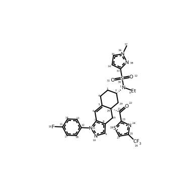 CCN([C@H]1CCC2=Cc3c(cnn3-c3ccc(F)cc3)C[C@]2(C(=O)c2nc(C(F)(F)F)cs2)C1)S(=O)(=O)c1ccn(C)n1